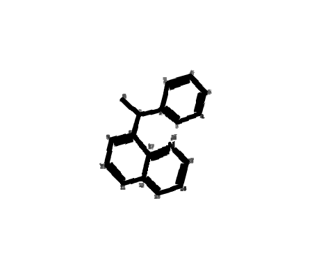 CC(c1ccccc1)c1cccc2cccnc12